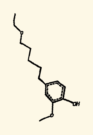 CCOCCCCCc1ccc(O)c(OC)c1